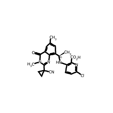 Cc1cc([C@@H](C)Nc2ccc(Cl)nc2C(=O)O)c2nc(C3(C#N)CC3)n(C)c(=O)c2c1